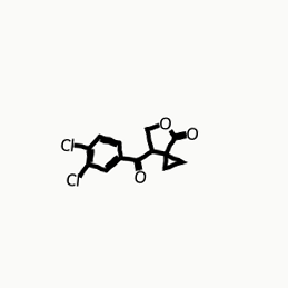 O=C(c1ccc(Cl)c(Cl)c1)C1COC(=O)C12CC2